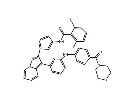 O=C(Nc1cccc(-c2nn3ccccc3c2-c2ccnc(Nc3ccc(C(=O)N4CCOCC4)cc3)n2)c1)c1c(F)cccc1F